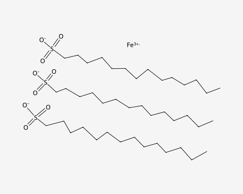 CCCCCCCCCCCCCCS(=O)(=O)[O-].CCCCCCCCCCCCCCS(=O)(=O)[O-].CCCCCCCCCCCCCCS(=O)(=O)[O-].[Fe+3]